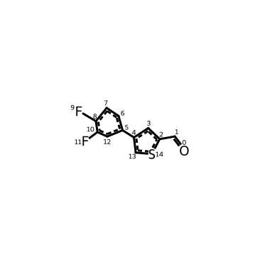 O=Cc1cc(-c2ccc(F)c(F)c2)cs1